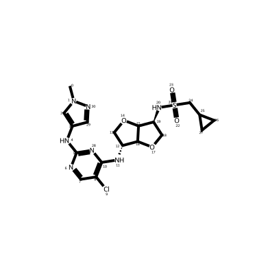 Cn1cc(Nc2ncc(Cl)c(N[C@@H]3COC4C3OC[C@@H]4NS(=O)(=O)CC3CC3)n2)cn1